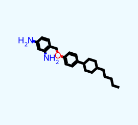 CCCCCC1CCC(c2ccc(OCc3ccc(N)cc3N)cc2)CC1